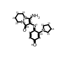 Nc1c(N=C2C=CC(=O)C=C2N2CCCC2)c(=O)n2n1CCCC2